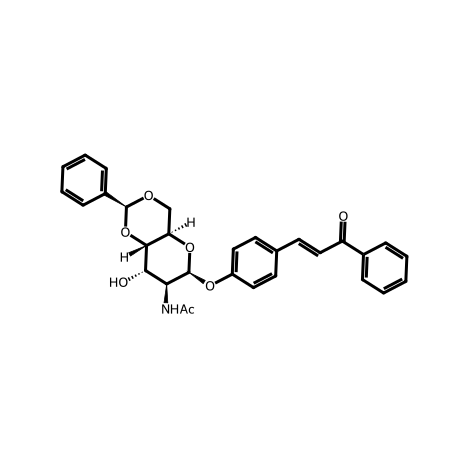 CC(=O)N[C@@H]1[C@H](Oc2ccc(/C=C/C(=O)c3ccccc3)cc2)O[C@@H]2CO[C@H](c3ccccc3)O[C@H]2[C@H]1O